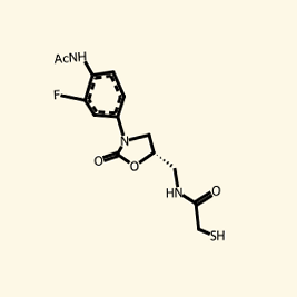 CC(=O)Nc1ccc(N2C[C@H](CNC(=O)CS)OC2=O)cc1F